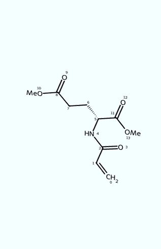 C=CC(=O)N[C@H](CCC(=O)OC)C(=O)OC